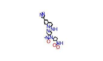 COC(=O)N[C@@H]1CC[C@@H](n2c(=O)n(C)c3cnc(Nc4ccc5cc(-c6cnn(C)c6)ccc5n4)cc32)C1